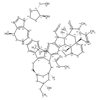 CC[C@]1(O)C[C@H]2C[N@](CCc3c([nH]c4ccccc34)[C@@](C(=O)OC)(c3cc4c(cc3OC)N(C=O)[C@H]3[C@@](O)(C(=O)OC)[C@H](OC(C)=O)[C@]5(CC)C=CCN6CC[C@]43[C@@H]65)C2)C1.OC[C@H]1O[C@@H](n2cnc3c2N=CNC[C@H]3O)C[C@@H]1O